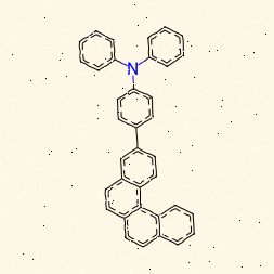 c1ccc(N(c2ccccc2)c2ccc(-c3ccc4c(ccc5ccc6ccccc6c54)c3)cc2)cc1